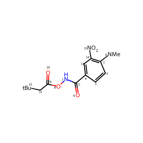 CNc1ccc(C(=O)NOC(=O)CC(C)(C)C)cc1[N+](=O)[O-]